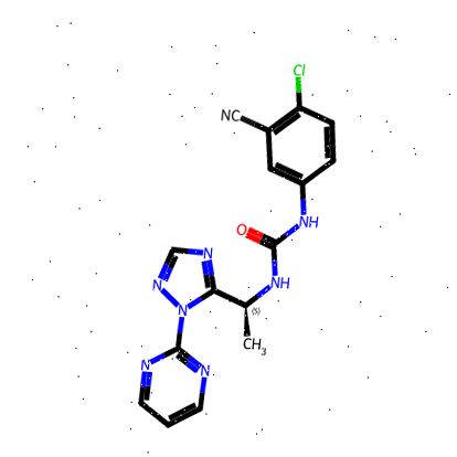 C[C@H](NC(=O)Nc1ccc(Cl)c(C#N)c1)c1ncnn1-c1ncccn1